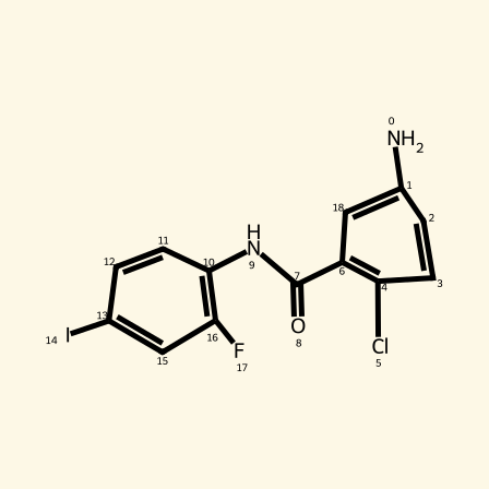 Nc1ccc(Cl)c(C(=O)Nc2ccc(I)cc2F)c1